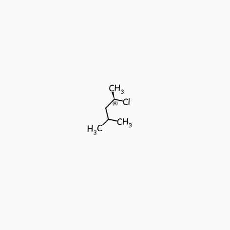 CC(C)C[C@@H](C)Cl